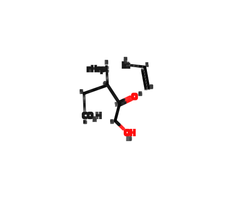 C=CCC.CCCCCCCC(CC(=O)O)C(=O)CO